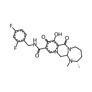 C[C@H]1CCCN2C(=O)c3c(O)c(=O)c(C(=O)NCc4ccc(F)cc4F)cn3CC2N1C